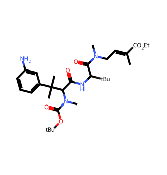 CCOC(=O)/C(C)=C/CN(C)C(=O)C(NC(=O)C(N(C)C(=O)OC(C)(C)C)C(C)(C)c1cccc(N)c1)C(C)(C)C